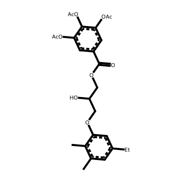 CCc1cc(C)c(C)c(OCC(O)COC(=O)c2cc(OC(C)=O)c(OC(C)=O)c(OC(C)=O)c2)c1